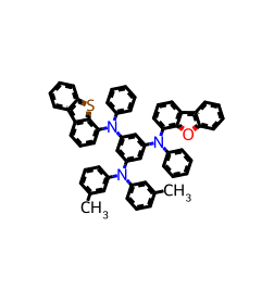 Cc1cccc(N(c2cccc(C)c2)c2cc(N(c3ccccc3)c3cccc4c3oc3ccccc34)cc(N(c3ccccc3)c3cccc4c3sc3ccccc34)c2)c1